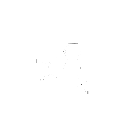 CCCC(N)(CCC)C1CCc2ccc(O)cc2O1.O=C(O)C(=O)O